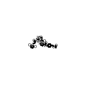 CC(=O)OCc1ccc(NC(=O)[C@@H]2CCCN2C(=O)[C@H](CO)NC(=O)[C@H](C)NC(=O)CCN2C(=O)C=CC2=O)cc1